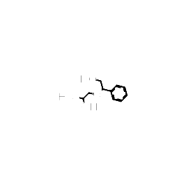 CC(O)COC(CO)c1ccccc1